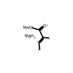 CC=C(C)C(=O)OC.[MgH2]